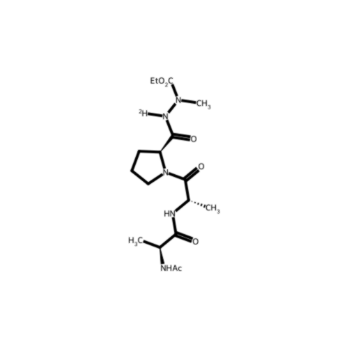 [2H]N(C(=O)[C@@H]1CCCN1C(=O)[C@H](C)NC(=O)[C@H](C)NC(C)=O)N(C)C(=O)OCC